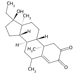 CC[C@@]1(O)CC[C@H]2[C@@H]3CC(C)C4=CC(=O)C(=O)C[C@]4(C)[C@H]3CC[C@@]21C